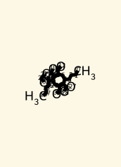 CCCCC1CC2=C(C(=O)OC2=O)C(C2(CCCC)OCCO2)CC2=C1C(=O)OC2=O